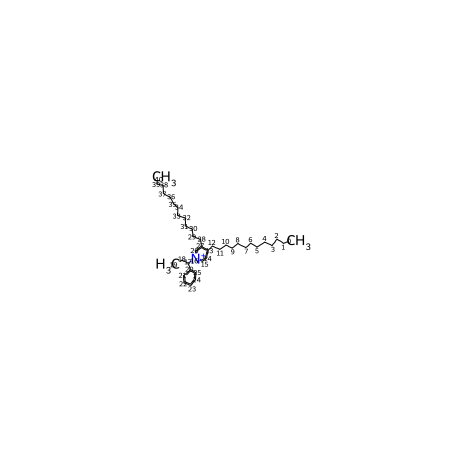 CCCCCCCCCCCCCc1cc[n+](C(CC)c2ccccc2)cc1CCCCCCCCCCCCC